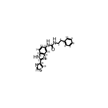 O=C(NCCc1ccccc1)Nc1ccc2[nH]c(-c3cscn3)nc2c1